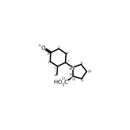 CC1CC(=O)CCC1N1CCC[C@H]1C(=O)O